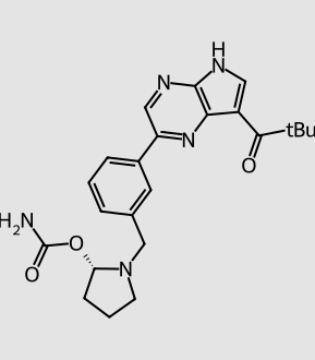 CC(C)(C)C(=O)c1c[nH]c2ncc(-c3cccc(CN4CCC[C@@H]4OC(N)=O)c3)nc12